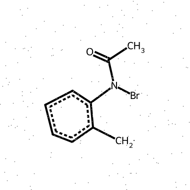 [CH2]c1ccccc1N(Br)C(C)=O